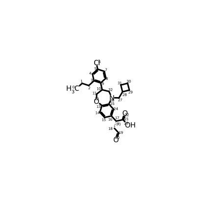 CCCc1cc(Cl)ccc1C1COc2ccc([C@@H](CC=O)C(=O)O)cc2N(CC2CCC2)C1